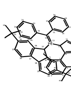 Cc1cccc(C)c1C1=CC=C[CH]1[Hf](=[C](c1ccccc1)c1ccccc1)[CH]1c2cc(C(C)(C)C)ccc2-c2ccc(C(C)(C)C)cc21